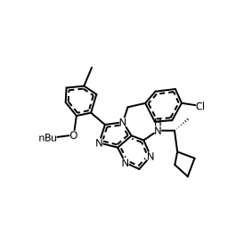 CCCCOc1ccc(C)cc1-c1nc2ncnc(N[C@H](C)C3CCC3)c2n1Cc1ccc(Cl)cc1